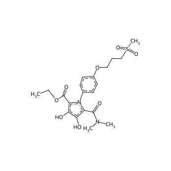 CCOC(=O)c1c(O)c(O)c(C(=O)N(C)C)n1-c1ccc(OCCCS(C)(=O)=O)cc1